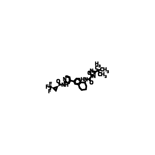 CC(C)(C)c1noc(C(=O)NC2CCCCc3cc(-c4ccnc(NC(=O)[C@@H]5C[C@@H]5C(F)(F)F)c4)ccc32)n1